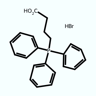 Br.O=C(O)CCC[P](c1ccccc1)(c1ccccc1)c1ccccc1